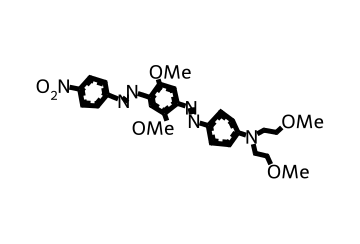 COCCN(CCOC)c1ccc(N=Nc2cc(OC)c(N=Nc3ccc([N+](=O)[O-])cc3)cc2OC)cc1